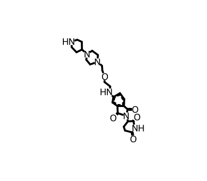 O=C1CCC(N2C(=O)c3ccc(NCCOCCN4CCN(C5CCNCC5)CC4)cc3C2=O)C(=O)N1